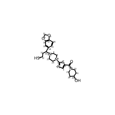 O=C(c1cnc(N2CCN(C(CCS)c3ccc4c(c3)OCO4)CC2)s1)N1CCC(O)CC1